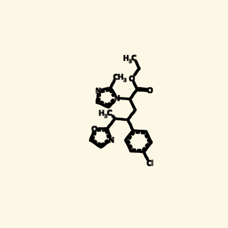 CCOC(=O)C(CC(c1ccc(Cl)cc1)C(C)c1ncco1)n1ccnc1C